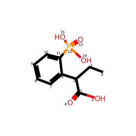 CCC(C(=O)O)c1ccccc1P(=O)(O)O